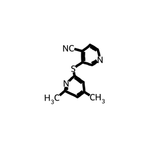 Cc1cc(C)nc(Sc2cnccc2C#N)c1